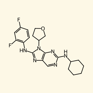 Fc1ccc(Nc2nc3cnc(NC4CCCCC4)nc3n2C2CCOC2)c(F)c1